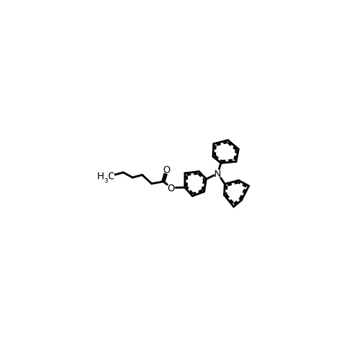 CCCCCC(=O)Oc1ccc(N(c2ccccc2)c2ccccc2)cc1